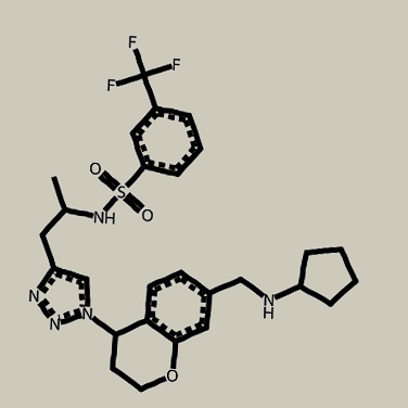 CC(Cc1cn(C2CCOc3cc(CNC4CCCC4)ccc32)nn1)NS(=O)(=O)c1cccc(C(F)(F)F)c1